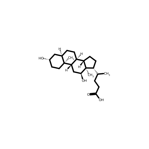 CC(CCC(=O)O)[C@H]1CC[C@H]2[C@@H]3CC[C@@H]4C[C@@H](O)CC[C@]4(C)[C@H]3C[C@H](O)[C@]12C